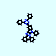 c1ccc(-c2nc(-c3ccccc3)nc(-c3ccc4c(c3)c3nc5c6ccccc6c6ccccc6n5c3n4-c3ccccc3)n2)cc1